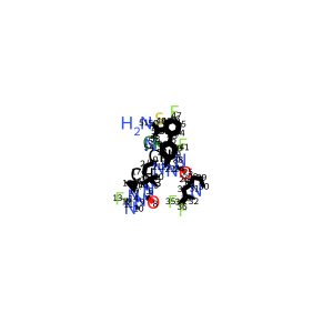 C[C@H]1CC[C@]2(CN(C(=O)n3cnc(F)n3)[C@@H]2C2(C)CC2)CN1c1nc(OC[C@]23CCCN2CC(=C(F)F)C3)nc2c(F)c(-c3ccc(F)c4sc(N)c(C#N)c34)c(Cl)cc12